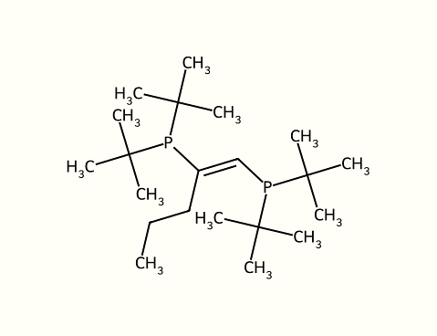 CCCC(=CP(C(C)(C)C)C(C)(C)C)P(C(C)(C)C)C(C)(C)C